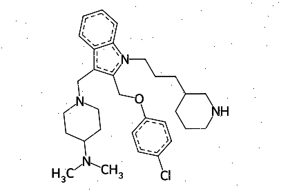 CN(C)C1CCN(Cc2c(COc3ccc(Cl)cc3)n(CCCC3CCCNC3)c3ccccc23)CC1